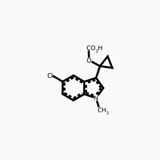 Cn1cc(C2(OC(=O)O)CC2)c2cc(Cl)ccc21